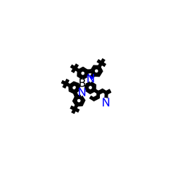 C=C(C#N)/C=C(\C=C/C)c1cc2c3c(c1)-n1c4ccc(C(C)(C)C)cc4c4cc(C(C)(C)C)cc(c41)B3c1cc(C(C)(C)C)cc3c4cc(C(C)(C)C)ccc4n-2c13